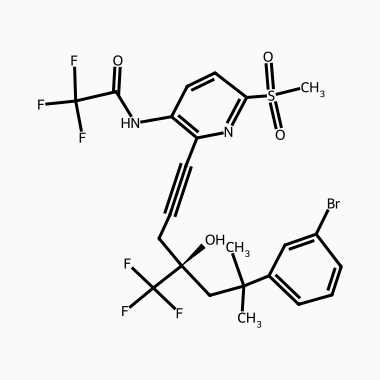 CC(C)(C[C@@](O)(CC#Cc1nc(S(C)(=O)=O)ccc1NC(=O)C(F)(F)F)C(F)(F)F)c1cccc(Br)c1